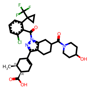 C[C@H]1CC(c2nn(C(=O)c3c(Cl)cccc3C3(C(F)(F)F)CC3)c3c2CCC(C(=O)N2CCC(O)CC2)C3)=CC[C@H]1C(=O)O